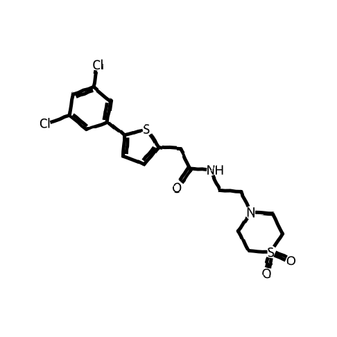 O=C(Cc1ccc(-c2cc(Cl)cc(Cl)c2)s1)NCCN1CCS(=O)(=O)CC1